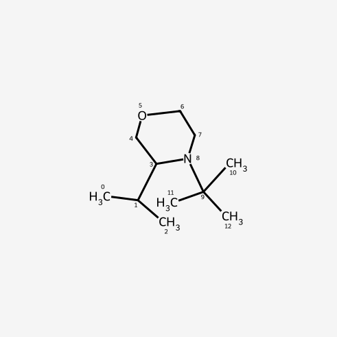 CC(C)C1COCCN1C(C)(C)C